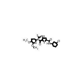 COc1ccc(-n2c(=S)[nH]c3cc(C(=O)Nc4cccc(Cl)c4)sc3c2=O)nc1OC